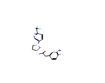 Cn1ncc2cc(CC(=O)N[C@@H]3CCN(c4ccc(C(F)(F)F)nc4)C3)ccc21